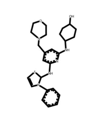 OC1CCC(Nc2cc(CN3CCOCC3)cc(NC3SC=CN3c3ccccc3)n2)CC1